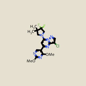 COc1ncc(-c2cc(N3CC(C)(C)C(F)(F)C3)n3ncc(Cl)c3n2)c(OC)n1